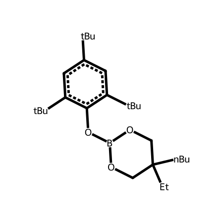 CCCCC1(CC)COB(Oc2c(C(C)(C)C)cc(C(C)(C)C)cc2C(C)(C)C)OC1